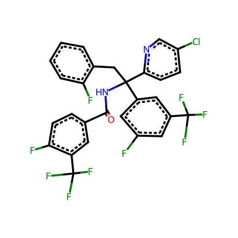 O=C(NC(Cc1ccccc1F)(c1cc(F)cc(C(F)(F)F)c1)c1ccc(Cl)cn1)c1ccc(F)c(C(F)(F)F)c1